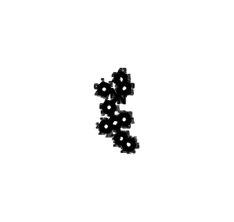 c1ccc(-n2c(-c3cccc(-c4c5ccccc5c(-c5ccc6ccccc6c5)c5ccccc45)c3)nc3ccc4ccccc4c32)cc1